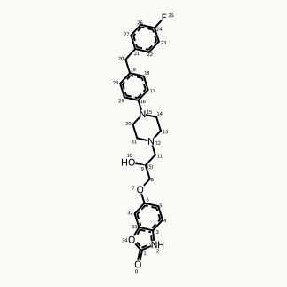 O=c1[nH]c2ccc(OC[C@@H](O)CN3CCN(c4ccc(Cc5ccc(F)cc5)cc4)CC3)cc2o1